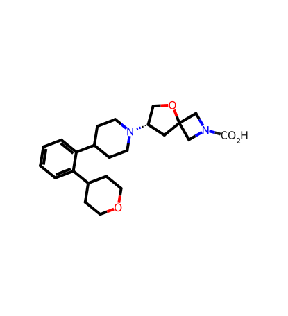 O=C(O)N1CC2(C[C@H](N3CCC(c4ccccc4C4CCOCC4)CC3)CO2)C1